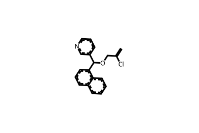 C=C(Cl)COC(c1cccnc1)c1cccc2ccccc12